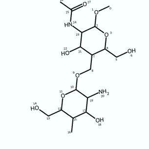 COC1OC(CO)C(COC2OC(CO)C(C)C(O)C2N)C(O)C1NC(C)=O